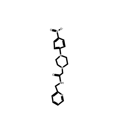 O=C(CN1CCN(c2ccc([N+](=O)[O-])cc2)CC1)NCc1ccccn1